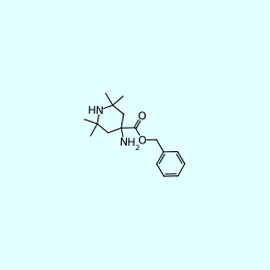 CC1(C)CC(N)(C(=O)OCc2ccccc2)CC(C)(C)N1